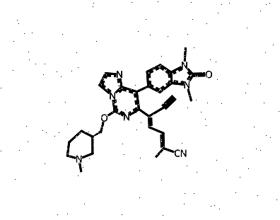 C#C/C(=C\C=C(/C)C#N)c1nc(OC[C@@H]2CCCN(C)C2)n2ccnc2c1-c1ccc2c(c1)n(C)c(=O)n2C